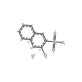 O=S(=O)([O-])c1cc2ccccc2nc1Cl.[Li+]